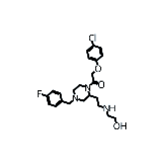 O=C(COc1ccc(Cl)cc1)N1CCN(Cc2ccc(F)cc2)CC1CCNCCO